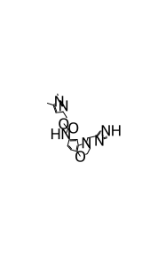 Cc1cc(COC(=O)Nc2ccc3c(c2)N(Cc2c[nH]cn2)CCO3)nn1C